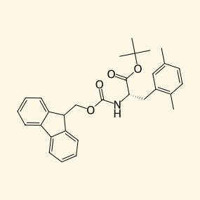 Cc1ccc(C)c(C[C@H](NC(=O)OCC2c3ccccc3-c3ccccc32)C(=O)OC(C)(C)C)c1